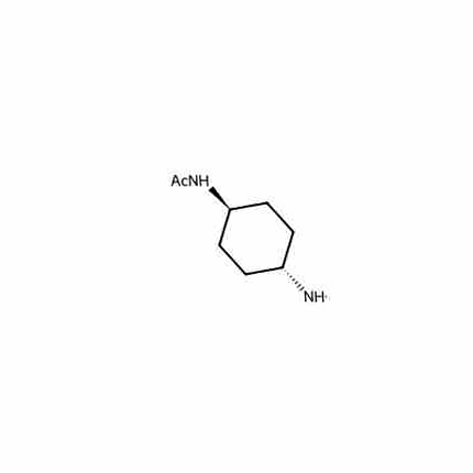 CC(=O)N[C@H]1CC[C@H]([NH])CC1